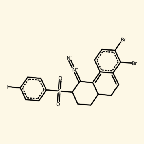 [N-]=[N+]=C1C2=c3ccc(Br)c(Br)c3=CCC2CCC1S(=O)(=O)c1ccc(I)cc1